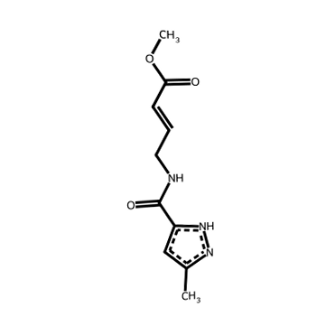 COC(=O)/C=C/CNC(=O)c1cc(C)n[nH]1